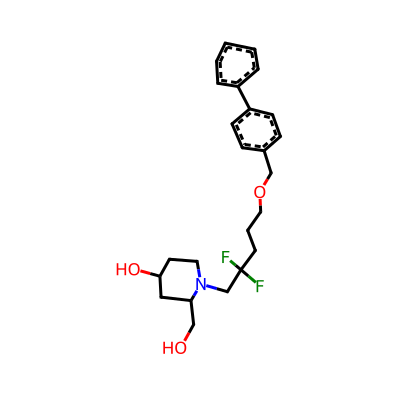 OCC1CC(O)CCN1CC(F)(F)CCCOCc1ccc(-c2ccccc2)cc1